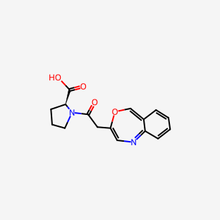 O=C(O)[C@@H]1CCCN1C(=O)CC1=CN=c2ccccc2=CO1